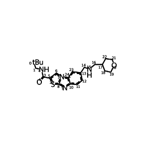 CC(C)(C)CNC(=O)c1cn2c(nc3ccc(CNCC4CCOCC4)cc32)s1